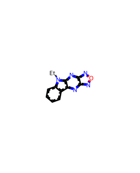 CCn1c2ccccc2c2nc3nonc3nc21